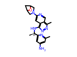 Cc1cc(N)cc([C@@H](C)Nc2nnc(C)c3cnc(N4CC5CC(C4)O5)cc23)n1